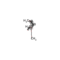 CCCCCCCCCCCCCCCC(OC(CC)N1CC(=O)N(CCOS(=O)(=O)c2ccc(C)cc2)C1=O)C(C)OCc1ccccc1